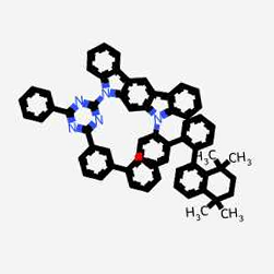 CC1(C)CCC(C)(C)c2c(-c3ccccc3-c3ccccc3-n3c4ccccc4c4cc5c6ccccc6n(-c6nc(-c7ccccc7)nc(-c7cccc(-c8ccccc8)c7)n6)c5cc43)cccc21